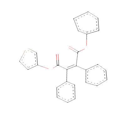 O=C(Oc1ccccc1)/C(=C(\C(=O)Oc1ccsc1)c1ccccc1)c1ccccc1